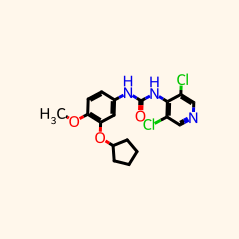 COc1ccc(NC(=O)Nc2c(Cl)cncc2Cl)cc1OC1CCCC1